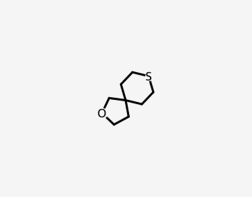 C1CC2(CCSCC2)CO1